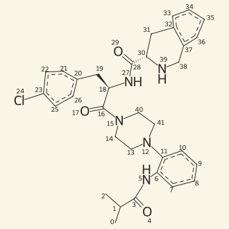 CC(C)C(=O)Nc1ccccc1N1CCN(C(=O)[C@@H](Cc2ccc(Cl)cc2)NC(=O)[C@@H]2Cc3ccccc3CN2)CC1